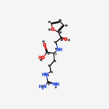 N=C(N)NCCCC(NCC(=O)c1ccco1)C(=O)O